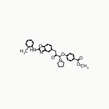 COC(=O)c1ccc(OC(C(=O)Cc2ccc3oc(Nc4ccccc4C)nc3c2)N2C[CH][CH]C2)cc1